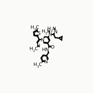 C=N/C=C(/c1ccc(C)s1)N1C=C(C(=O)NCc2ccc(C)nc2)C=C(N(N)/C(CC2CC2)=N\N)C1